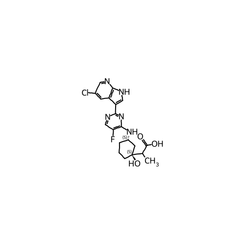 CC(C(=O)O)[C@]1(O)CCC[C@H](Nc2nc(-c3c[nH]c4ncc(Cl)cc34)ncc2F)C1